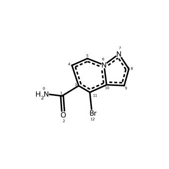 NC(=O)c1ccn2n[c]cc2c1Br